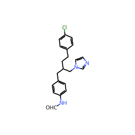 O=CNc1ccc(CC(CCc2ccc(Cl)cc2)Cn2ccnc2)cc1